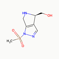 CS(=O)(=O)n1ncc2c1CN[C@H]2CO